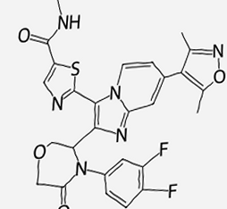 CNC(=O)c1cnc(-c2c(C3COCC(=O)N3c3ccc(F)c(F)c3)nc3cc(-c4c(C)noc4C)ccn23)s1